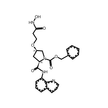 O=C(CCO[C@@H]1C[C@H](C(=O)Nc2cccc3cccnc23)N(C(=O)OCc2ccccc2)C1)NO